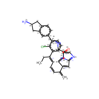 C=C(/C=C\C=C(/CC)c1cccc(-c2ccc3c(c2)CC(N)C3)c1Cl)C1=C/C(NC=O)=N/C=C(CNC)\C=C\1